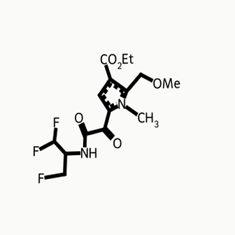 CCOC(=O)c1cc(C(=O)C(=O)NC(CF)C(F)F)n(C)c1COC